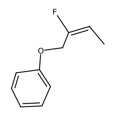 C/C=C(/F)COc1ccccc1